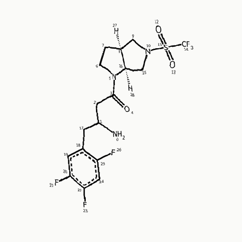 NC(CC(=O)N1CC[C@H]2CN(S(=O)(=O)C(F)(F)F)C[C@H]21)Cc1cc(F)c(F)cc1F